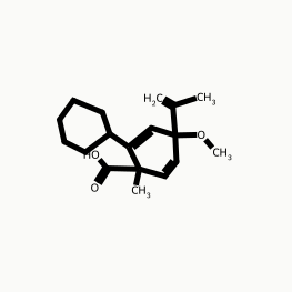 C=C(C)C1(OC)C=CC(C)(C(=O)O)C(C2CCCCC2)=C1